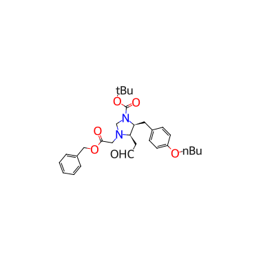 CCCCOc1ccc(C[C@H]2[C@@H](CC=O)N(CC(=O)OCc3ccccc3)CN2C(=O)OC(C)(C)C)cc1